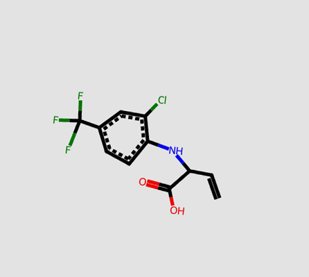 C=CC(Nc1ccc(C(F)(F)F)cc1Cl)C(=O)O